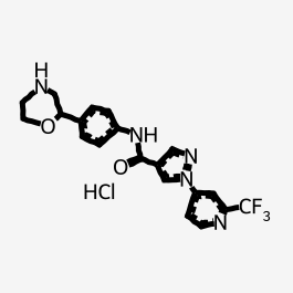 Cl.O=C(Nc1ccc(C2CNCCO2)cc1)c1cnn(-c2ccnc(C(F)(F)F)c2)c1